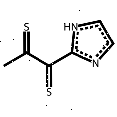 CC(=S)C(=S)c1ncc[nH]1